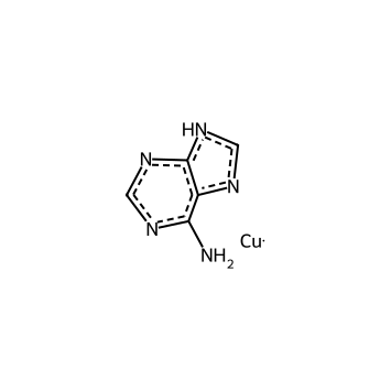 Nc1ncnc2[nH]cnc12.[Cu]